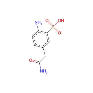 NC(=O)Cc1ccc(N)c(S(=O)(=O)O)c1